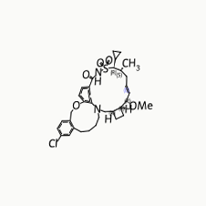 CO[C@H]1/C=C/C[C@H](C)[C@H](C2CC2)S(=O)(=O)NC(=O)c2ccc3c(c2)N(CCCCc2cc(Cl)ccc2CO3)C[C@@H]2CC[C@H]21